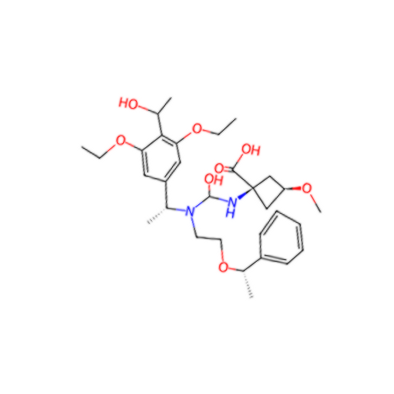 CCOc1cc([C@@H](C)N(CCO[C@@H](C)c2ccccc2)C(O)N[C@]2(C(=O)O)C[C@H](OC)C2)cc(OCC)c1C(C)O